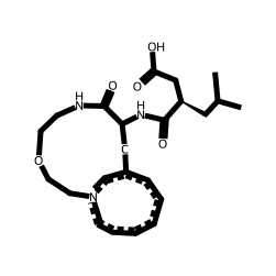 CC(C)C[C@H](CC(=O)O)C(=O)NC1Cc2ccccccn(c2)CCOCCNC1=O